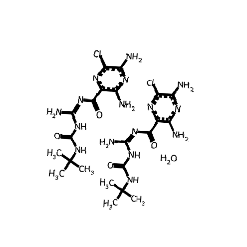 CC(C)(C)NC(=O)N/C(N)=N\C(=O)c1nc(Cl)c(N)nc1N.CC(C)(C)NC(=O)N/C(N)=N\C(=O)c1nc(Cl)c(N)nc1N.O